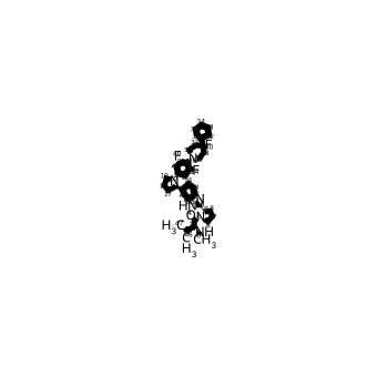 CNC(C(=O)N1CCC[C@H]1c1nc2ccc([C@H]3CCCN3c3cc(F)c(N4CCC(F)(c5ccccc5)CC4)c(F)c3)cc2[nH]1)C(C)C